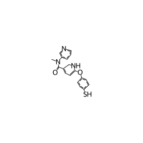 CN(C(=O)C1=CC=C(Oc2ccc(S)cc2)NC1)c1cccnc1